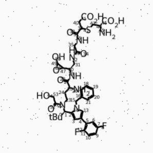 CC(C)(C)[C@H](c1cc(-c2cc(F)ccc2F)cn1Cc1ccccc1)N(CC[C@H](N)C(=O)N[C@H](CNC(=O)CNC(=O)C(CC(=O)O)SC[C@H](N)C(=O)O)C1OC1O)C(=O)CO